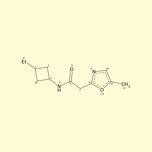 CCC1CC(NC(=O)Cc2ncc(C)o2)C1